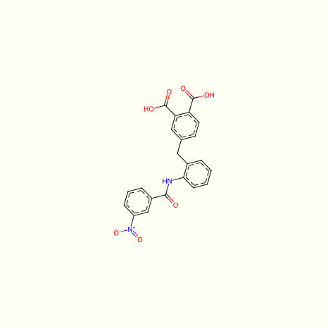 O=C(Nc1ccccc1Cc1ccc(C(=O)O)c(C(=O)O)c1)c1cccc([N+](=O)[O-])c1